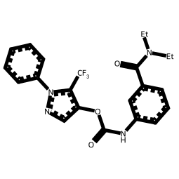 CCN(CC)C(=O)c1cccc(NC(=O)Oc2cnn(-c3ccccc3)c2C(F)(F)F)c1